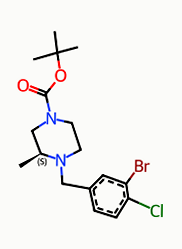 C[C@H]1CN(C(=O)OC(C)(C)C)CCN1Cc1ccc(Cl)c(Br)c1